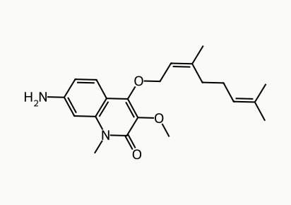 COc1c(OCC=C(C)CCC=C(C)C)c2ccc(N)cc2n(C)c1=O